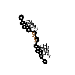 CC1(C)c2cc(-c3ccccc3)ccc2-c2ccc3c(c21)C(C)(C)c1cc(-c2ccc(-c4ccc(-c5ccc6c(c5)C(C)(C)c5c-6ccc6c5C(C)(C)c5cc(-c7ccccc7)ccc5-6)s4)s2)ccc1-3